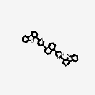 c1ccc2c(c1)oc1c(-c3ccc(-c4cccc5c(-c6cnc(-c7cccc8c7sc7ccccc78)nc6)cccc45)cn3)cccc12